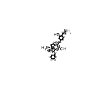 CCS(=O)(=O)N[C@H](Cc1ccccc1)C(=O)N1CCC[C@H]1C(=O)NCc1ccc(C=NN)c(O)c1.Cl